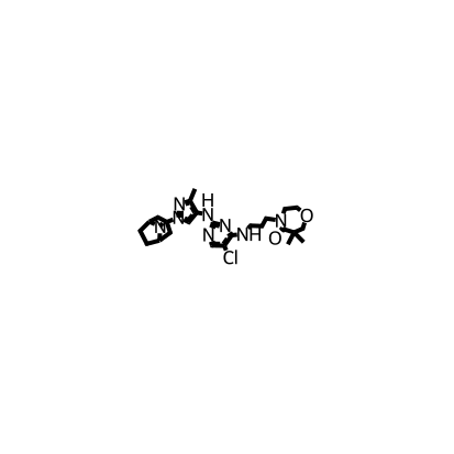 Cc1nn(C2CC3CCC(C2)N3C)cc1Nc1ncc(Cl)c(NCCCN2CCOCC(C)(C)C2=O)n1